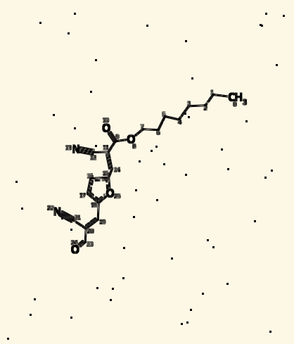 CCCCCCCCOC(=O)/C(C#N)=C/c1ccc(/C=C(\C#N)C=O)o1